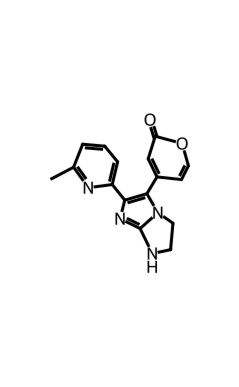 Cc1cccc(-c2nc3n(c2-c2ccoc(=O)c2)CCN3)n1